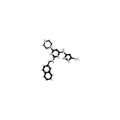 Cc1cc(Nc2cc(N3CCOCC3)nc(SCc3ccc4ccccc4c3)n2)[nH]n1